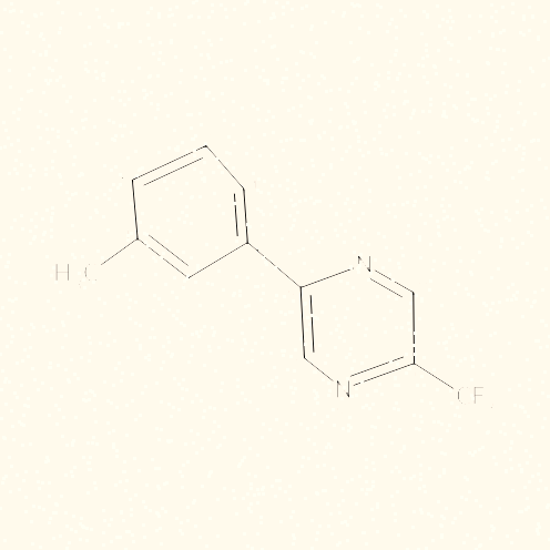 Cc1cccc(-c2cnc(C(F)(F)F)cn2)c1